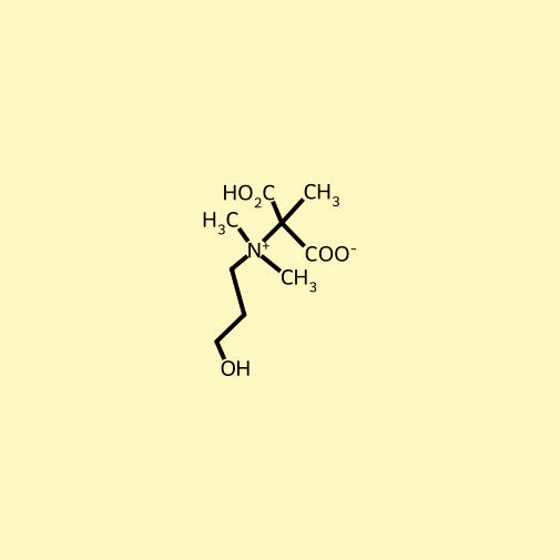 CC(C(=O)[O-])(C(=O)O)[N+](C)(C)CCCO